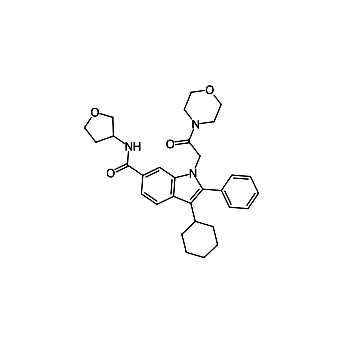 O=C(NC1CCOC1)c1ccc2c(C3CCCCC3)c(-c3ccccc3)n(CC(=O)N3CCOCC3)c2c1